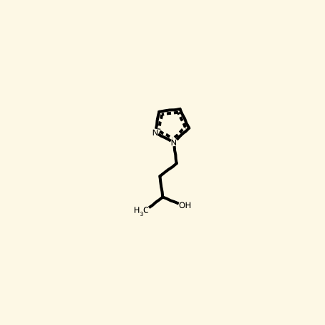 CC(O)CCn1cccn1